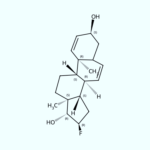 C[C@]12CC[C@H]3[C@@H](C=CC4C[C@H](O)C=C[C@@]43C)[C@@H]1C[C@@H](F)[C@@H]2O